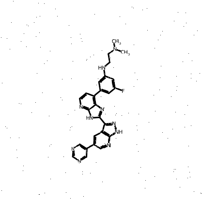 CN(C)CCNc1cc(F)cc(-c2ccnc3[nH]c(-c4n[nH]c5ncc(-c6cncnc6)cc45)nc23)c1